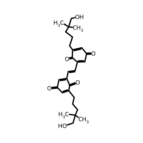 CC(C)(CO)CCCC1=CC(=O)C=C(C=CC2=CC(=O)C=C(CCCC(C)(C)CO)C2=O)C1=O